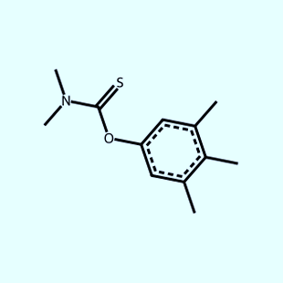 Cc1cc(OC(=S)N(C)C)cc(C)c1C